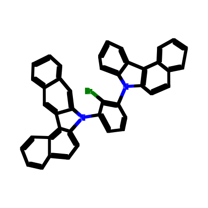 Brc1c(-n2c3ccccc3c3c4ccccc4ccc32)cccc1-n1c2cc3ccccc3cc2c2c3ccccc3ccc21